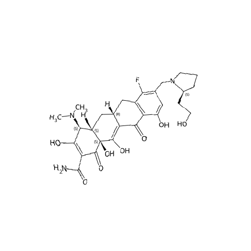 CN(C)[C@@H]1C(O)=C(C(N)=O)C(=O)[C@@]2(O)C(O)=C3C(=O)c4c(O)cc(CN5CCC[C@H]5CCO)c(F)c4C[C@H]3C[C@@H]12